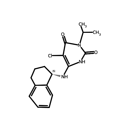 CC(C)n1c(=O)[nH]c(N[C@H]2CCCc3ccccc32)c(Cl)c1=O